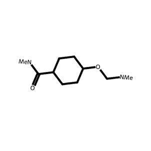 CNCOC1CCC(C(=O)NC)CC1